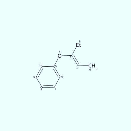 CC=C(CC)Oc1cc[c]cc1